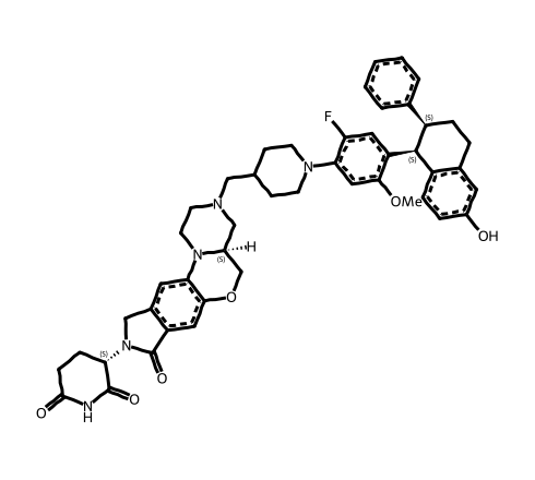 COc1cc(N2CCC(CN3CCN4c5cc6c(cc5OC[C@@H]4C3)C(=O)N([C@H]3CCC(=O)NC3=O)C6)CC2)c(F)cc1[C@@H]1c2ccc(O)cc2CC[C@@H]1c1ccccc1